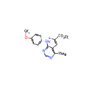 CCOC(=O)/C(I)=C/c1c(NC)ncnc1Nc1ccc(OC(F)(F)F)cc1